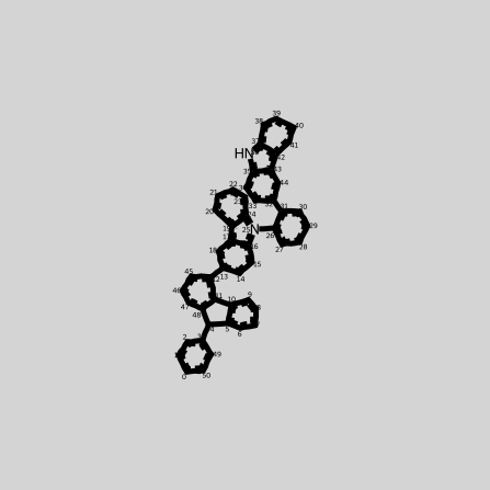 c1ccc(C2c3ccccc3-c3c(-c4ccc5c(c4)c4ccccc4n5-c4ccccc4-c4ccc5[nH]c6ccccc6c5c4)cccc32)cc1